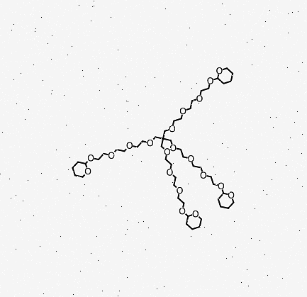 C1CCC(OCCOCCOCCOCC(COCCOCCOCCOC2CCCCO2)(COCCOCCOCCOC2CCCCO2)COCCOCCOCCOC2CCCCO2)OC1